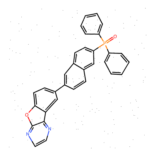 O=P(c1ccccc1)(c1ccccc1)c1ccc2cc(-c3ccc4oc5nccnc5c4c3)ccc2c1